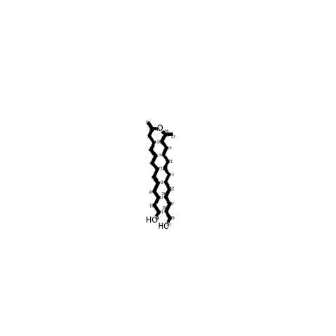 CC(CCCCCCCCCCCCO)OC(C)CCCCCCCCCCCCO